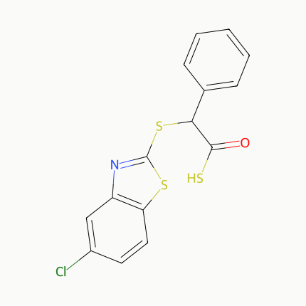 O=C(S)C(Sc1nc2cc(Cl)ccc2s1)c1ccccc1